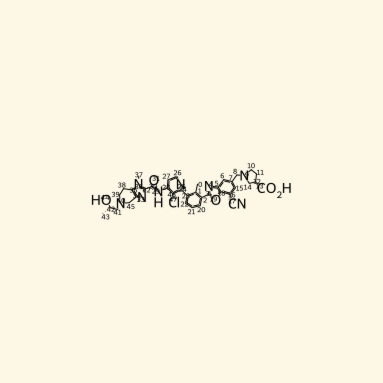 Cc1c(-c2nc3cc(CN4CC[C@@H](C(=O)O)C4)cc(C#N)c3o2)cccc1-c1nccc(NC(=O)c2nc3c(n2C)CCN(C[C@H](C)O)C3)c1Cl